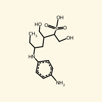 CCC(CC(CO)C(CO)S(=O)(=O)O)Nc1ccc(N)cc1